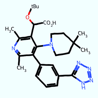 Cc1nc(C)c(C(OC(C)(C)C)C(=O)O)c(N2CCC(C)(C)CC2)c1-c1cccc(-c2nnn[nH]2)c1